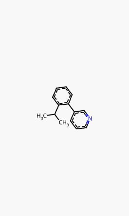 CC(C)c1ccccc1-c1cccnc1